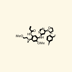 C=CC(=O)Nc1cc(Nc2cc(N3OCC[C@@H]3c3ccc(F)cc3F)ncn2)c(OC)cc1N(C)CCOC